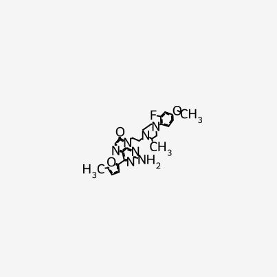 COc1ccc(N2CCN(CCn3c(=O)cnc4c(-c5ccc(C)o5)nc(N)nc43)C(C)C2)c(F)c1